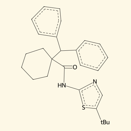 CC(C)(C)c1cnc(NC(=O)C2(C(c3ccccc3)c3ccccc3)CCCCC2)s1